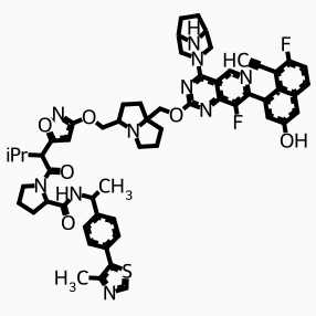 C#Cc1c(F)ccc2cc(O)cc(-c3ncc4c(N5CC6CCC(C5)N6)nc(OCC56CCCN5C(COc5cc(C(C(=O)N7CCCC7C(=O)NC(C)c7ccc(-c8scnc8C)cc7)C(C)C)on5)CC6)nc4c3F)c12